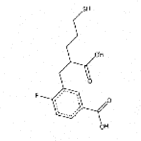 O=C(O)c1ccc(F)c(CC(CCCS)C(=O)O)c1